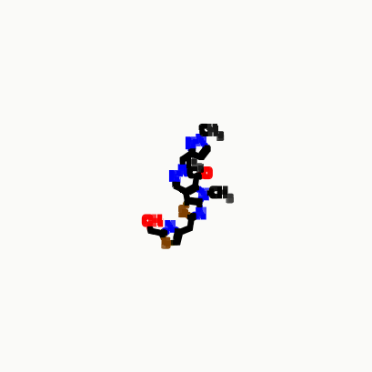 CN(Cc1ccn(C)n1)/N=C\c1c(C=O)n(C)c2nc(Cc3csc(CO)n3)sc12